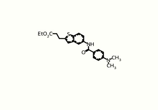 CCOC(=O)CCc1cc2cc(NC(=O)c3ccc(N(C)C)cc3)ccc2s1